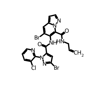 C=CCNC(=O)c1c(NC(=O)c2cc(Br)nn2-c2ncccc2Cl)c(Br)cc2ccnn12